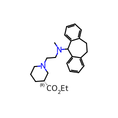 CCOC(=O)[C@@H]1CCCN(CCN(C)C2c3ccccc3CCc3ccccc32)C1